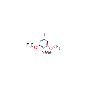 CNc1c(OC(F)(F)F)cc(I)cc1OC(F)(F)F